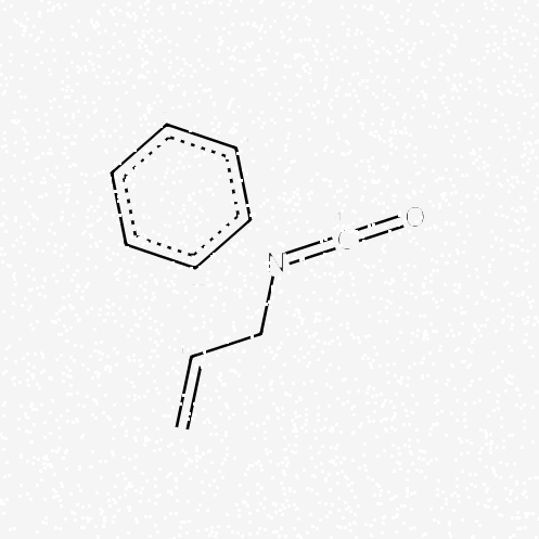 C=CCN=C=O.c1ccccc1